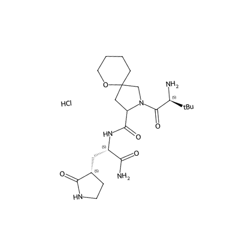 CC(C)(C)[C@H](N)C(=O)N1CC2(CCCCO2)CC1C(=O)N[C@@H](C[C@@H]1CCNC1=O)C(N)=O.Cl